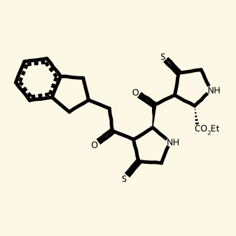 CCOC(=O)[C@H]1NCC(=S)C1C(=O)[C@H]1NCC(=S)C1C(=O)CC1Cc2ccccc2C1